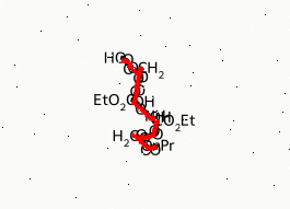 C=CCC(CCCOC(=O)CCC(=O)CCC)C(=O)OCCCCC(=O)OCCCC(CC(O)CNCCCCOCCC(O)CC(CCCOC(=O)CCCCOC(=O)C(CC=C)CCCOC(=O)CCC(=O)CCO)C(=O)OCC)C(=O)OCC